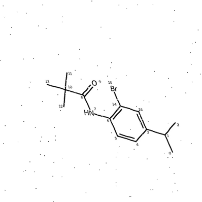 CC(C)c1ccc(NC(=O)C(C)(C)C)c(Br)c1